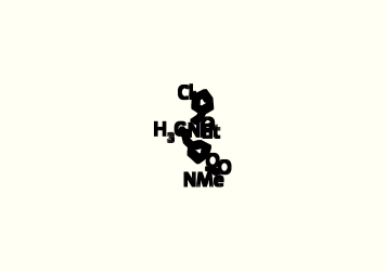 CCOC(CNC(C)Cc1ccc(OCC(=O)NC)cc1)c1cccc(Cl)c1